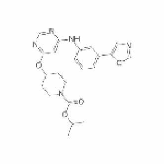 CC(C)OC(=O)N1CCC(Oc2cc(Nc3cccc(-c4cnco4)c3)ncn2)CC1